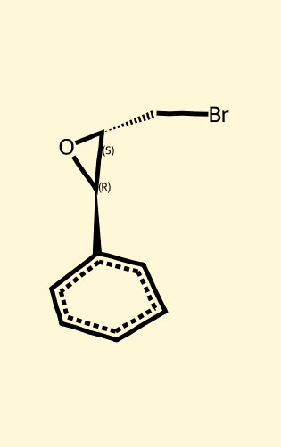 BrC[C@H]1O[C@@H]1c1ccccc1